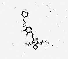 COC(=O)C1(N(C)NCCc2ccc(OCCN3CCOCC3)c(F)c2F)CCC1